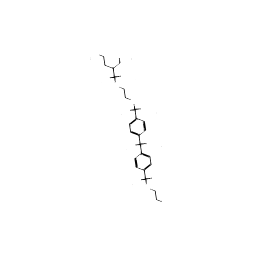 CCCC(CC)C(C)(C)OCCOC(C)(C)c1ccc(C(C)(C)c2ccc(C(C)(C)OCCO)cc2)cc1